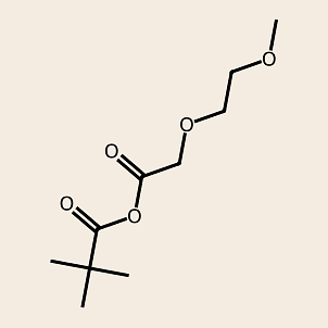 COCCOCC(=O)OC(=O)C(C)(C)C